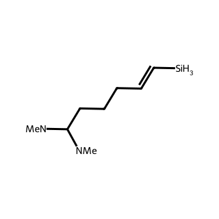 CNC(CCCC=C[SiH3])NC